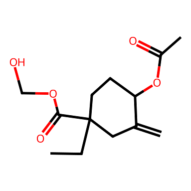 C=C1CC(CC)(C(=O)OCO)CCC1OC(C)=O